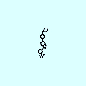 CS(=O)(=O)c1cccc(-c2cnn3cc(-c4ccc(CN5CCCC5)cc4)cnc23)c1